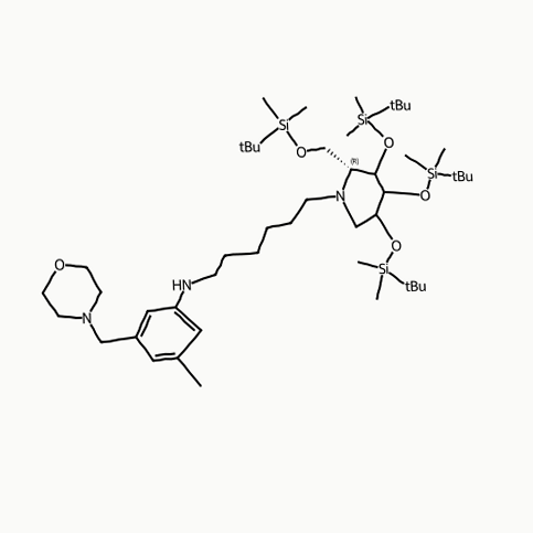 Cc1cc(CN2CCOCC2)cc(NCCCCCCN2CC(O[Si](C)(C)C(C)(C)C)C(O[Si](C)(C)C(C)(C)C)C(O[Si](C)(C)C(C)(C)C)[C@H]2CO[Si](C)(C)C(C)(C)C)c1